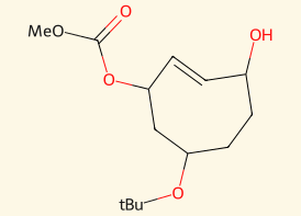 COC(=O)OC1/C=C/C(O)CCC(OC(C)(C)C)C1